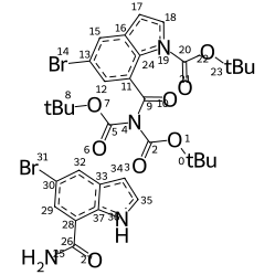 CC(C)(C)OC(=O)N(C(=O)OC(C)(C)C)C(=O)c1cc(Br)cc2ccn(C(=O)OC(C)(C)C)c12.NC(=O)c1cc(Br)cc2cc[nH]c12